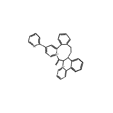 C=C1C2C(CCc3ccccc3-c3cc(-c4ccccn4)cc[n+]31)c1ccccc1-c1cccc[n+]12